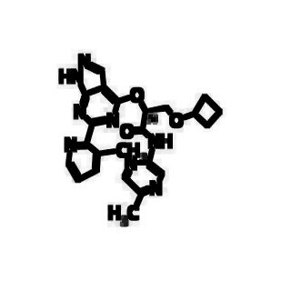 Cc1cnc(NC(=O)[C@H](COC2CCC2)Oc2nc(-c3ncccc3C)nc3[nH]ncc23)cn1